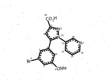 COc1cc(Br)cc(-c2cc(C(=O)O)nn2-c2cccnc2)c1